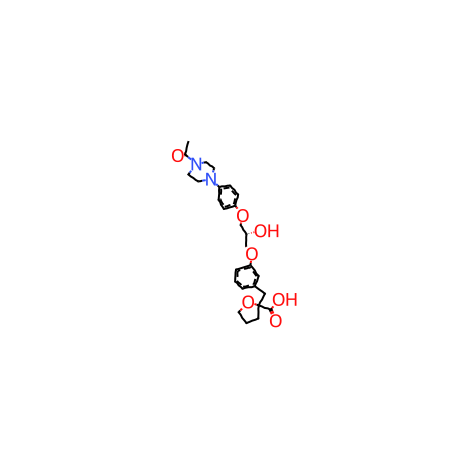 CC(=O)N1CCN(c2ccc(OC[C@H](O)COc3cccc(CC4(C(=O)O)CCCO4)c3)cc2)CC1